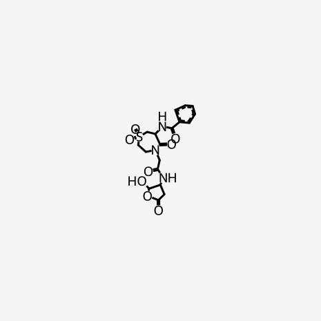 O=C(CN1CCS(=O)(=O)CC(NC(=O)c2ccccc2)C1=O)NC1CC(=O)OC1O